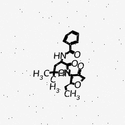 CC[C@@H]1OCC(=O)C1NC(=O)C(CC(C)(C)C)NC(=O)c1ccccc1